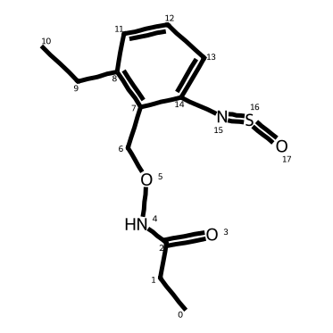 CCC(=O)NOCc1c(CC)cccc1N=S=O